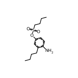 CCCCc1cc(OS(=O)(=O)CCCC)ccc1N